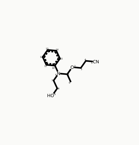 CC(OCCC#N)N(CCO)c1ccccc1